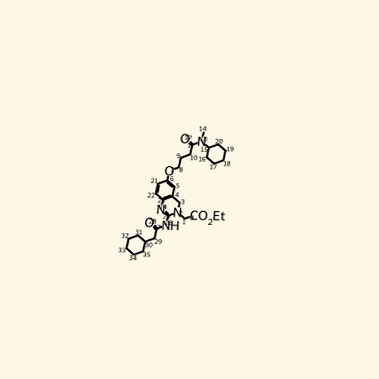 CCOC(=O)CN1Cc2cc(OCCCC(=O)N(C)C3CCCCC3)ccc2N=C1NC(=O)CC1CCCCC1